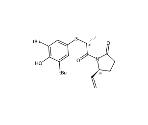 C=C[C@@H]1CCC(=O)N1C(=O)[C@@H](C)Sc1cc(C(C)(C)C)c(O)c(C(C)(C)C)c1